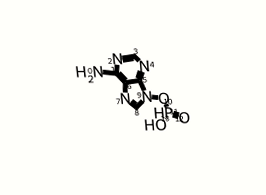 Nc1ncnc2c1ncn2O[PH](=O)O